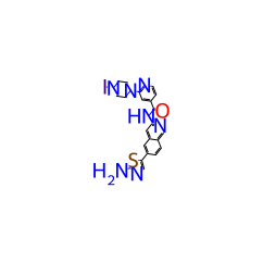 Nc1ncc(-c2ccc3cnc(NC(=O)c4ccnc(N5CCN(I)CC5)c4)cc3c2)s1